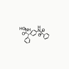 O=C(NO)C(c1ccccc1)c1ccc(NS(=O)(=O)c2ccccc2)cc1